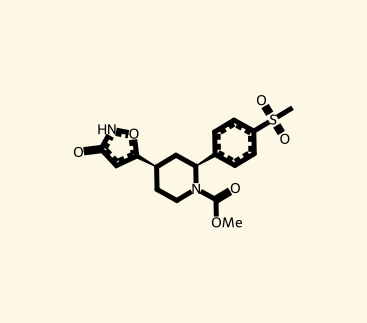 COC(=O)N1CC[C@@H](c2cc(=O)[nH]o2)C[C@H]1c1ccc(S(C)(=O)=O)cc1